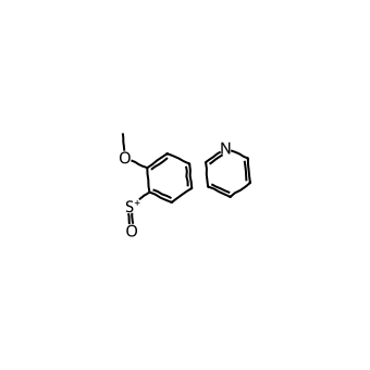 COc1ccccc1[S+]=O.c1ccncc1